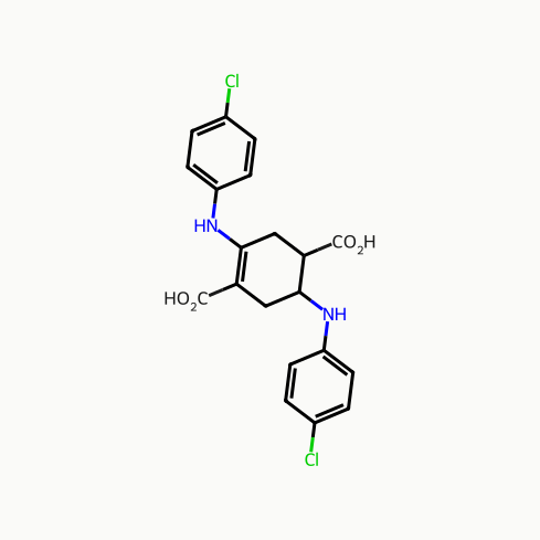 O=C(O)C1=C(Nc2ccc(Cl)cc2)CC(C(=O)O)C(Nc2ccc(Cl)cc2)C1